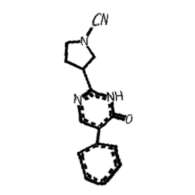 N#CN1CCC(c2ncc(-c3ccccc3)c(=O)[nH]2)C1